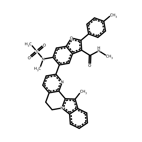 CNC(=O)c1c(-c2ccc(C)cc2)oc2cc(N(C)S(C)(=O)=O)c(-c3ccc4c(n3)-c3c(C)c5ccccc5n3CC4)cc12